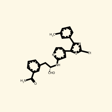 CCc1nc(-c2cccc(C)c2)c(-c2ccnc(N[C@H](C=O)Cc3cccc(C(N)=O)c3)c2)s1